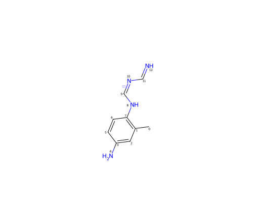 Cc1cc(N)ccc1N/C=N\C=N